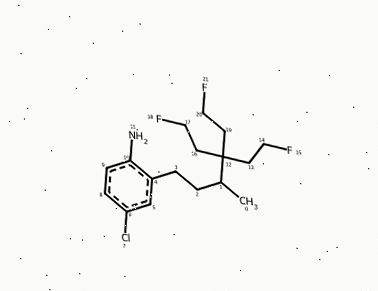 CC(CCc1cc(Cl)ccc1N)C(CCF)(CCF)CCF